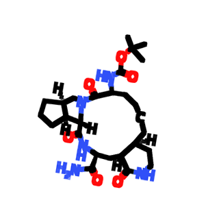 CC(C)(C)OC(=O)N[C@H]1CCCC[C@H]2CCNC(=O)[C@H]2C[C@@H](C(N)=O)NC(=O)[C@@H]2[C@H]3CCC[C@H]3CN2C1=O